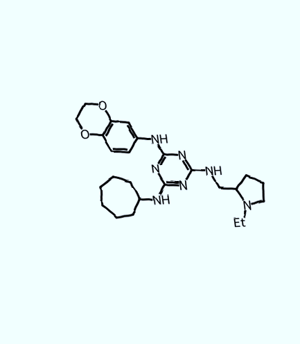 CCN1CCCC1CNc1nc(Nc2ccc3c(c2)OCCO3)nc(NC2CCCCCC2)n1